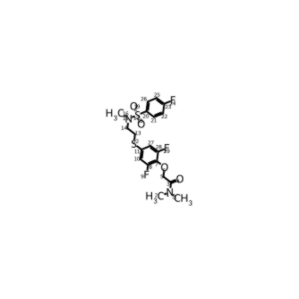 CN(C)C(=O)COc1c(F)cc(SCCN(C)S(=O)(=O)c2ccc(F)cc2)cc1F